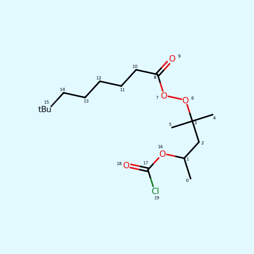 CC(CC(C)(C)OOC(=O)CCCCCC(C)(C)C)OC(=O)Cl